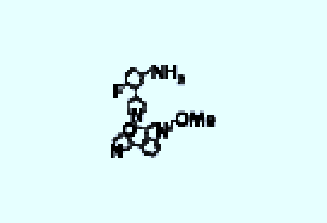 COCCn1cc(C(=O)N2CCC(c3cc(CN)ccc3F)CC2)c2c(-c3cccnc3)cccc21